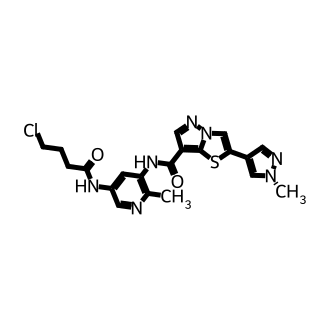 Cc1ncc(NC(=O)CCCCl)cc1NC(=O)c1cnn2cc(-c3cnn(C)c3)sc12